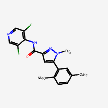 COc1ccc(OC)c(-c2cc(C(=O)Nc3c(F)cncc3F)nn2C)c1